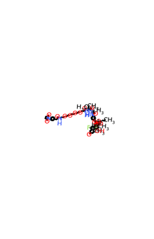 CCC[C@@H]1O[C@@H]2C[C@H]3[C@@H]4C[C@H](F)C5=CC(=O)C=C[C@]5(C)[C@@]4(F)[C@@H](O)C[C@]3(C)[C@]2(C(=O)COc2ccc(NC(=O)[C@H](C)NC(=O)[C@@H](NC(=O)CCOCCOCCOCCOCCNC(=O)Cc3ccc(N4C(=O)C=CC4=O)cc3)C(C)C)cc2)O1